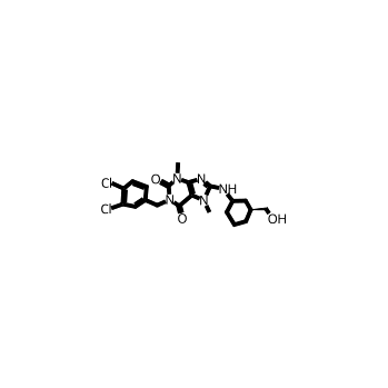 Cn1c(NC2CCC[C@H](CO)C2)nc2c1c(=O)n(Cc1ccc(Cl)c(Cl)c1)c(=O)n2C